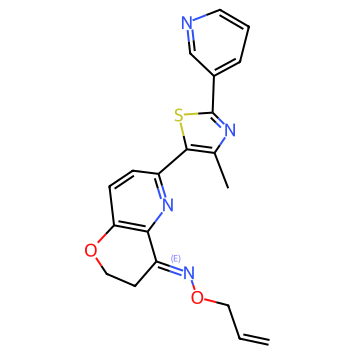 C=CCO/N=C1\CCOc2ccc(-c3sc(-c4cccnc4)nc3C)nc21